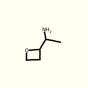 [CH2]C(N)C1CCO1